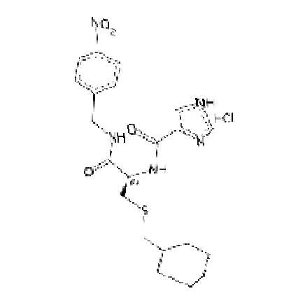 Cl.O=C(N[C@@H](CSCC1CCCCC1)C(=O)NCc1ccc([N+](=O)[O-])cc1)c1c[nH]cn1